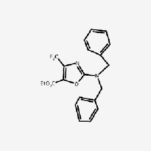 CCOC(=O)c1oc(N(Cc2ccccc2)Cc2ccccc2)nc1C(F)(F)F